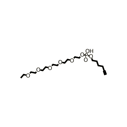 C#CCCCCOP(=O)(O)OCCOCCOCCOCCOCCOCC